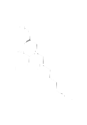 CC(C)(C)OC(=O)CN(CCCCCCN)C(C(=O)O)C(C)(C)C.Cl